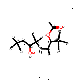 CC(=O)OC(C(C)BC(C)(C)C(O)CC(C)(C)C)C(C)(C)C